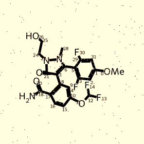 COc1cc(F)c(-c2c(-c3cc(OC(F)F)ccc3C(N)=O)c(=O)n(CCO)n2C)c(F)c1